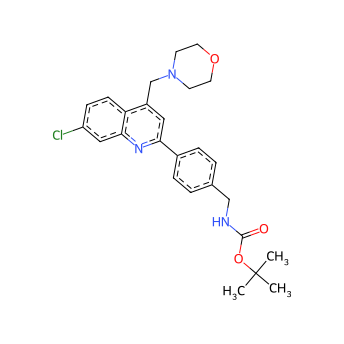 CC(C)(C)OC(=O)NCc1ccc(-c2cc(CN3CCOCC3)c3ccc(Cl)cc3n2)cc1